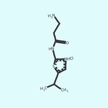 CC(C)c1cnc(NC(=O)CCN)s1.Cl